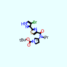 CC(C)N(C(=O)c1csc(-c2n[nH]cc2Br)n1)[C@H]1CCN(C(=O)OC(C)(C)C)C1